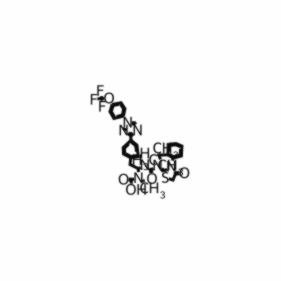 CCN(C(=O)O)C(Cc1ccc(-c2ncn(-c3ccc(OC(F)(F)F)cc3)n2)cc1)NC(=O)/N=C1\SCC(=O)N1c1ccccc1C(C)(C)C